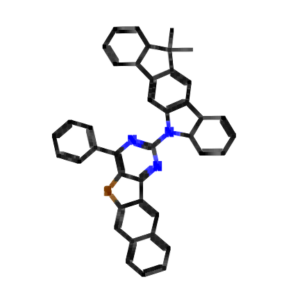 CC1(C)c2cc3c(cc2C2C=CC=CC21)N(c1nc(-c2ccccc2)c2sc4cc5ccccc5cc4c2n1)C1C=CC=CC31